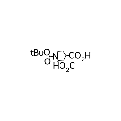 CC(C)(C)OC(=O)N1CC[C@@H](C(=O)O)C[C@H]1C(=O)O